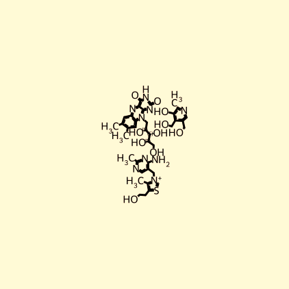 Cc1cc2nc3c(=O)[nH]c(=O)nc-3n(C[C@H](O)[C@H](O)[C@H](O)CO)c2cc1C.Cc1ncc(CO)c(CO)c1O.Cc1ncc(C[n+]2csc(CCO)c2C)c(N)n1